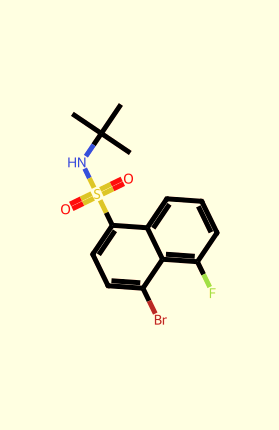 CC(C)(C)NS(=O)(=O)c1ccc(Br)c2c(F)cccc12